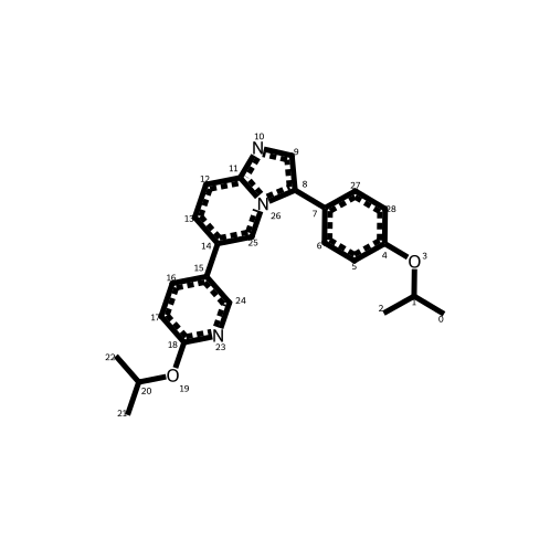 CC(C)Oc1ccc(-c2cnc3ccc(-c4ccc(OC(C)C)nc4)cn23)cc1